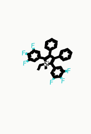 CC[Si]1(C)C(c2cc(F)c(F)c(F)c2)=C(c2ccccc2)C(c2ccccc2)=C1c1cc(F)c(F)c(F)c1